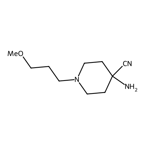 COCCCN1CCC(N)(C#N)CC1